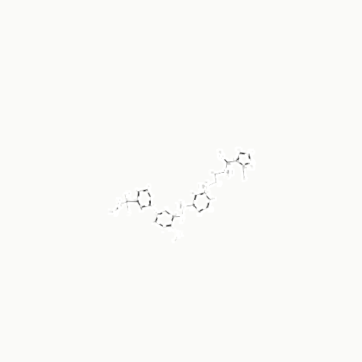 COc1ccc(-c2cccc(C(C)(C)N=O)c2)cc1SNc1cccc(NCCNC(=O)c2ccoc2C)c1